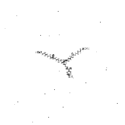 CCCCCCCCCCCCCCCCCC(=O)OCCCCCCC(O)(CCCCCCOC(=O)CCCCCCCCCCCCCCCCC)CCCCOC(=O)C1CCN(C)CC1